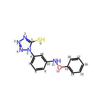 Sc1nnnn1-c1cccc(NOc2ccccc2)c1